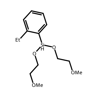 CCc1ccccc1[SiH](OCCOC)OCCOC